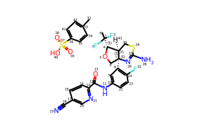 CC(F)(F)[C@H]1OC[C@]2(c3cc(NC(=O)c4ccc(C#N)cn4)ccc3F)N=C(N)SC[C@H]12.Cc1ccc(S(=O)(=O)O)cc1